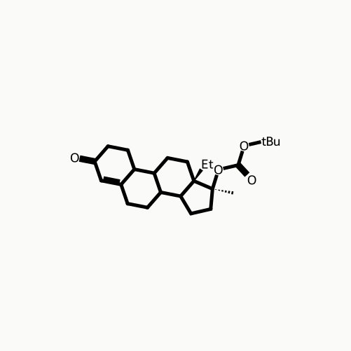 CC[C@]12CCC3C4CCC(=O)C=C4CCC3C1CC[C@]2(C)OC(=O)OC(C)(C)C